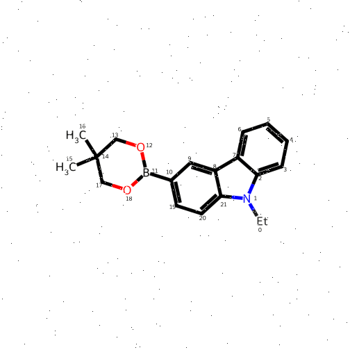 CCn1c2ccccc2c2cc(B3OCC(C)(C)CO3)ccc21